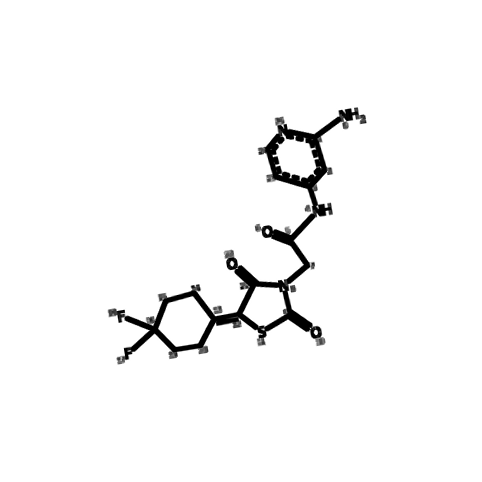 Nc1cc(NC(=O)CN2C(=O)SC(=C3CCC(F)(F)CC3)C2=O)ccn1